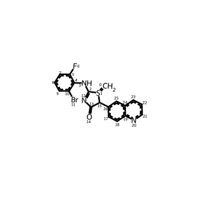 C=S1C(Nc2c(F)cccc2Br)=NC(=O)C1c1ccc2ncccc2c1